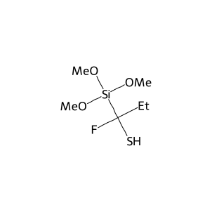 CCC(F)(S)[Si](OC)(OC)OC